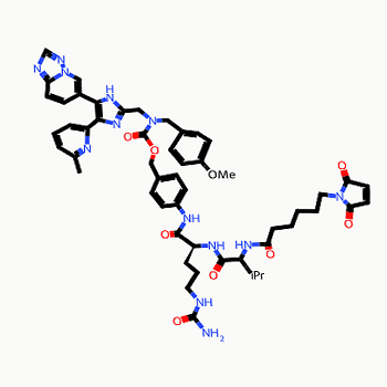 COc1ccc(CN(Cc2nc(-c3cccc(C)n3)c(-c3ccc4ncnn4c3)[nH]2)C(=O)OCc2ccc(NC(=O)[C@H](CCCNC(N)=O)NC(=O)C(NC(=O)CCCCCN3C(=O)C=CC3=O)C(C)C)cc2)cc1